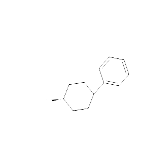 N[C@H]1CC[C@@](O)(c2ccccc2)CC1